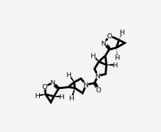 O=C(N1C[C@@H]2C(C3=NO[C@H]4C[C@@H]34)[C@@H]2C1)N1C[C@@H]2C(C3=NO[C@H]4C[C@@H]34)[C@@H]2C1